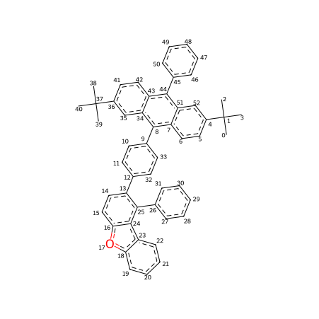 CC(C)(C)c1ccc2c(-c3ccc(-c4ccc5oc6ccccc6c5c4-c4ccccc4)cc3)c3cc(C(C)(C)C)ccc3c(-c3ccccc3)c2c1